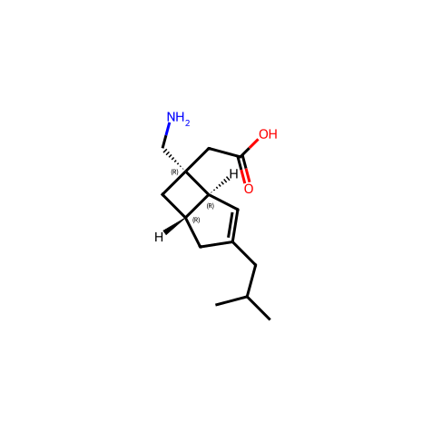 CC(C)CC1=C[C@H]2[C@H](C1)C[C@@]2(CN)CC(=O)O